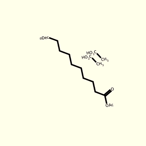 CC(=O)O.CC(=O)O.CCCCCCCCCCCCCCCCCCC(=O)OC(C)=O